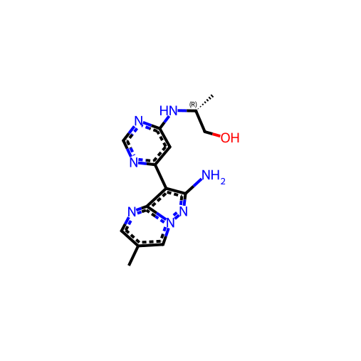 Cc1cnc2c(-c3cc(N[C@H](C)CO)ncn3)c(N)nn2c1